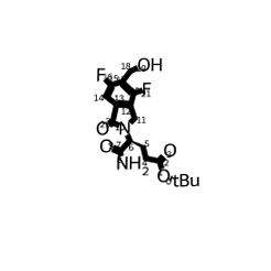 CC(C)(C)OC(=O)CC[C@@H](C(N)=O)N1Cc2c(cc(F)c(CO)c2F)C1=O